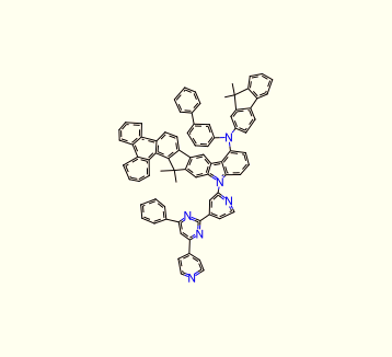 CC1(C)c2ccccc2-c2ccc(N(c3cccc(-c4ccccc4)c3)c3cccc4c3c3cc5c(cc3n4-c3cc(-c4nc(-c6ccccc6)cc(-c6ccncc6)n4)ccn3)C(C)(C)c3c-5ccc4c5ccccc5c5ccccc5c34)cc21